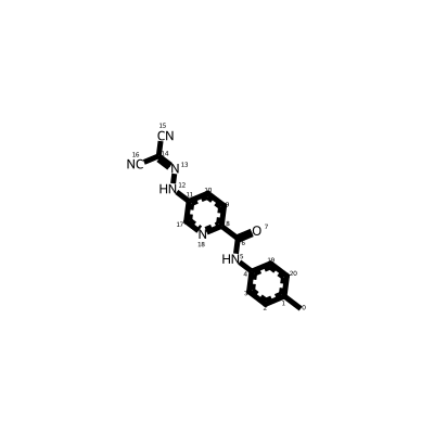 Cc1ccc(NC(=O)c2ccc(NN=C(C#N)C#N)cn2)cc1